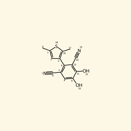 Cc1cc(-c2c(C#N)cc(O)c(O)c2C#N)c(C)s1